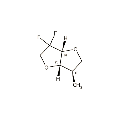 C[C@@H]1CO[C@@H]2[C@H]1OCC2(F)F